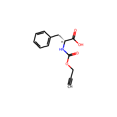 C#CCOC(=O)N[C@H](Cc1ccccc1)C(=O)O